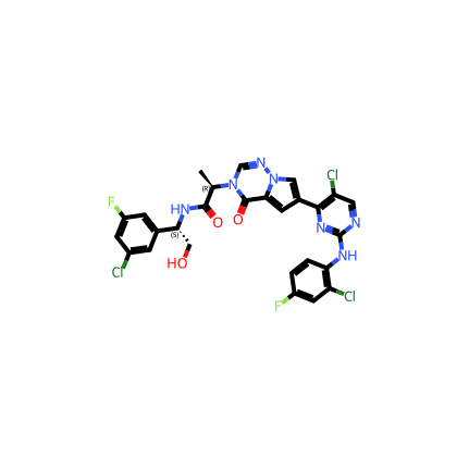 C[C@H](C(=O)N[C@H](CO)c1cc(F)cc(Cl)c1)n1cnn2cc(-c3nc(Nc4ccc(F)cc4Cl)ncc3Cl)cc2c1=O